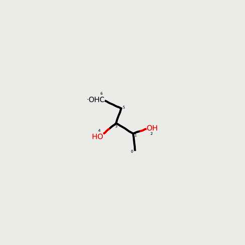 CC(O)C(O)C[C]=O